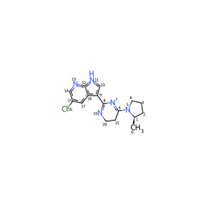 C[C@@H]1CCCN1C1=NC(c2c[nH]c3ncc(Cl)cc23)=NCC1